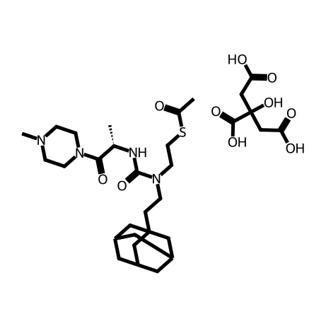 CC(=O)SCCN(CCC12CC3CC(CC(C3)C1)C2)C(=O)N[C@@H](C)C(=O)N1CCN(C)CC1.O=C(O)CC(O)(CC(=O)O)C(=O)O